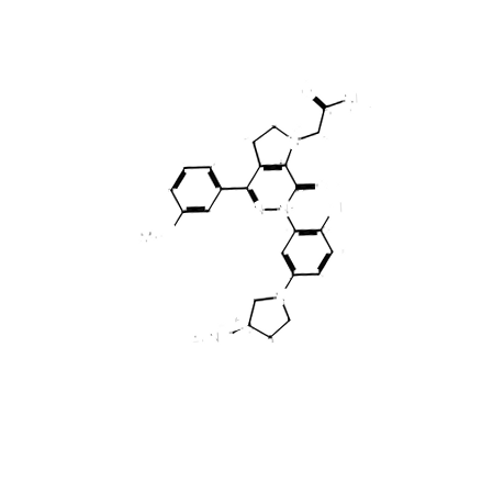 COc1cccc(-c2nn(-c3cc(N4CC[C@@H](NC(C)=O)C4)ccc3C(F)(F)F)c(=O)c3c2CCN3CC(N)=O)c1